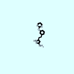 Nc1cc(CCc2cccc(Oc3ncccn3)c2)[nH]n1